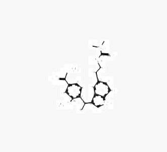 COC(=O)c1ccc(C(C)c2c[nH]c3ccc(CCNC(=O)N(C)C)cc23)c(OC)c1